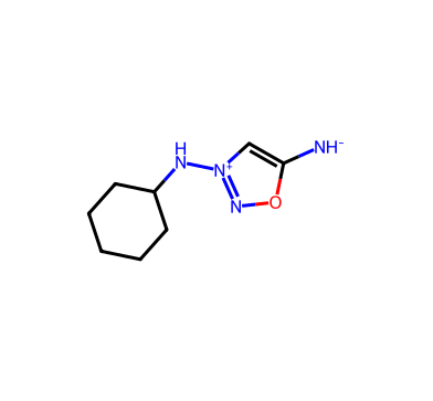 [NH-]c1c[n+](NC2CCCCC2)no1